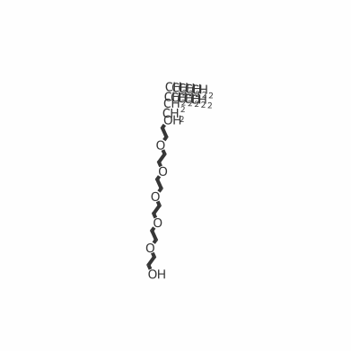 C=C.C=C.C=C.C=C.C=C.C=C.OCCOCCOCCOCCOCCOCCO